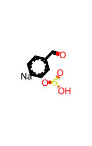 O=Cc1ccccc1.O=S([O-])O.[Na+]